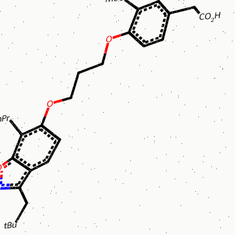 CCCc1c(OCCCOc2ccc(CC(=O)O)cc2OC)ccc2c(CC(C)(C)C)noc12